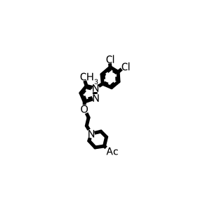 CC(=O)C1CCN(CCOc2cc(C)n(-c3ccc(Cl)c(Cl)c3)n2)CC1